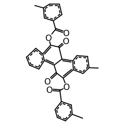 Cc1cccc(C(=O)OC2=c3ccccc3=C3C(=O)C(OC(=O)c4cccc(C)c4)=c4cc(C)ccc4=C3C2=O)c1